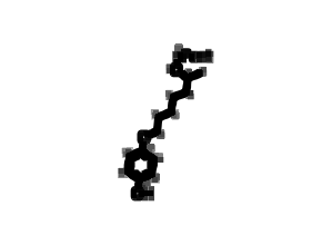 CCCCCOC(C)CCCCCOc1ccc(O)cc1